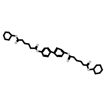 O=C(CCCCC(=O)OC1CCCCC1)Oc1ccc(-c2ccc(OC(=O)CCCCC(=O)OC3CCCCC3)cc2)cc1